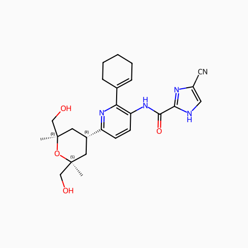 C[C@]1(CO)C[C@H](c2ccc(NC(=O)c3nc(C#N)c[nH]3)c(C3=CCCCC3)n2)C[C@@](C)(CO)O1